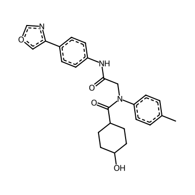 Cc1ccc(N(CC(=O)Nc2ccc(-c3cocn3)cc2)C(=O)C2CCC(O)CC2)cc1